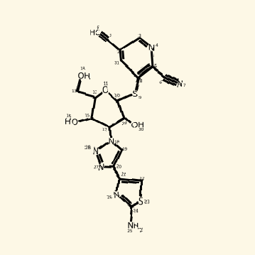 C#Cc1cnc(C#N)c(SC2OC(CO)C(O)C(n3cc(-c4csc(N)n4)nn3)C2O)c1